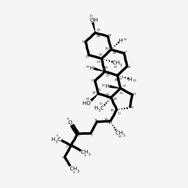 CCC(C)(C)C(=O)CC[C@@H](C)[C@H]1CC[C@H]2[C@@H]3CC[C@@H]4C[C@H](O)CC[C@]4(C)[C@H]3C[C@H](O)[C@]12C